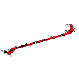 CC(C)CCC[C@@H](C)[C@H]1CCC2C3CC=C4CC(OC(=O)CCC(=O)OCCOCCOCCOCCOC(=O)CCC(=O)OCCOCCOCCOCCSSCCOCCOCCOCCOC(=O)CCC(=O)OCCOCCOCCOCCOC(=O)CCC(=O)OC5CC[C@@]6(C)C(=CCC7C6CC[C@@]6(C)C7CC[C@@H]6[C@H](C)CCCC(C)C)C5)CC[C@]4(C)C3CC[C@@]21C